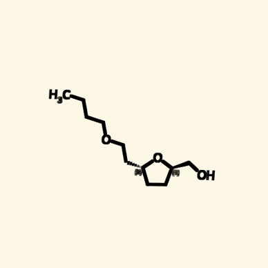 CCCCOCC[C@H]1CC[C@H](CO)O1